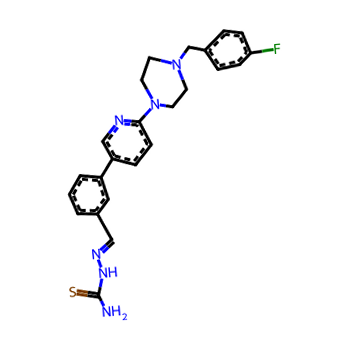 NC(=S)NN=Cc1cccc(-c2ccc(N3CCN(Cc4ccc(F)cc4)CC3)nc2)c1